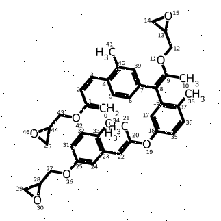 C=C(/C=C\c1ccc(/C(=C(/C)OCC2CO2)c2cc(O/C(C)=C/c3cc(OCC4CO4)ccc3C)ccc2C)cc1C)OCC1CO1